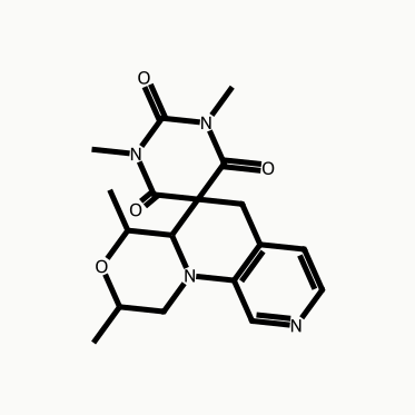 CC1CN2c3cnccc3CC3(C(=O)N(C)C(=O)N(C)C3=O)C2C(C)O1